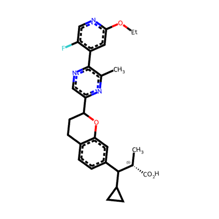 CCOc1cc(-c2ncc(C3CCc4ccc(C(C5CC5)[C@H](C)C(=O)O)cc4O3)nc2C)c(F)cn1